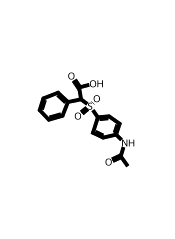 CC(=O)Nc1ccc(S(=O)(=O)C(C(=O)O)c2ccccc2)cc1